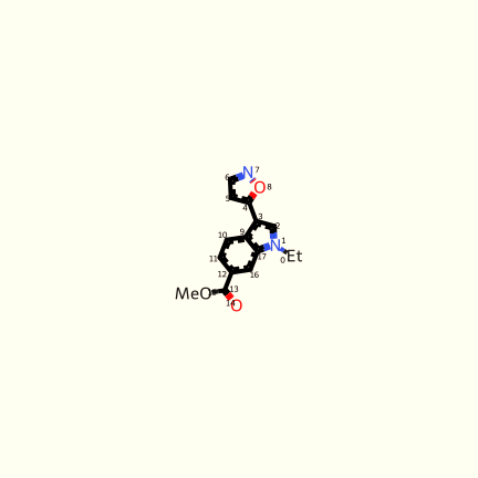 CCn1cc(-c2ccno2)c2ccc(C(=O)OC)cc21